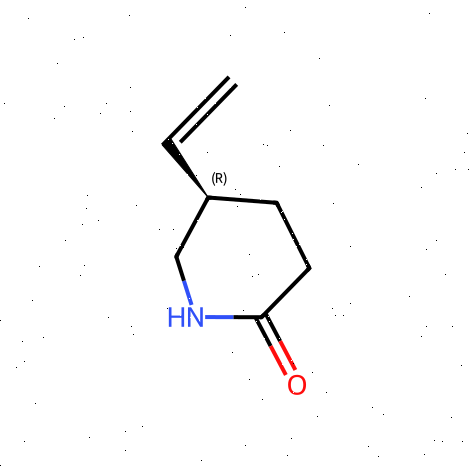 C=C[C@H]1CCC(=O)NC1